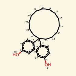 Oc1ccc(C2(c3ccc(O)cc3)CCCCCCCCCCCCC2)cc1